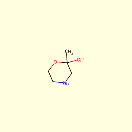 CC1(O)CNCCO1